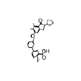 Cc1c(OCc2cccc(-c3ccc(F)c(C(=O)O)c3)c2)cc2c(c1C)C(=O)C(C1CCCC1)C2